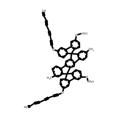 C#CC#CC#CC#COc1ccc2c(c1)-c1cc(OCCCCCCCC)ccc1C21c2cc(C)ccc2-c2cc3c(cc21)-c1ccc(C)cc1C31c2ccc(OC#CC#CC#CC#C)cc2-c2cc(OCCCCCCCC)ccc21